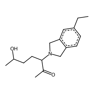 CCc1ccc2c(c1)CN(C(CCC(C)O)C(C)=O)C2